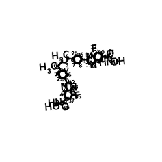 CC(CCC(C)c1ccc(-c2cnc3cc(C(=O)NO)cc(F)c3n2)cc1)c1ccc(-c2cnc3c(F)cc(C(=O)NO)cc3n2)cc1